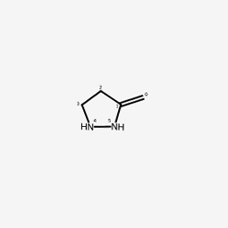 C=C1CCNN1